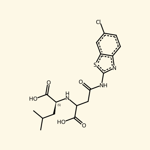 CC(C)C[C@H](NC(CC(=O)Nc1nc2ccc(Cl)cc2s1)C(=O)O)C(=O)O